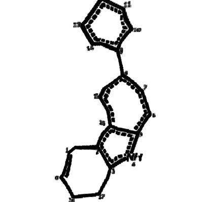 C1=Cc2c([nH]c3ccc(-c4ccccc4)cc23)CC1